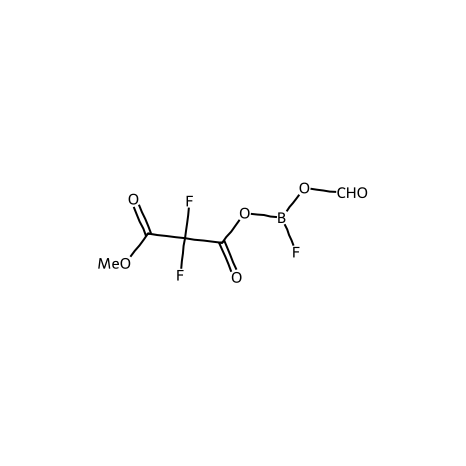 COC(=O)C(F)(F)C(=O)OB(F)OC=O